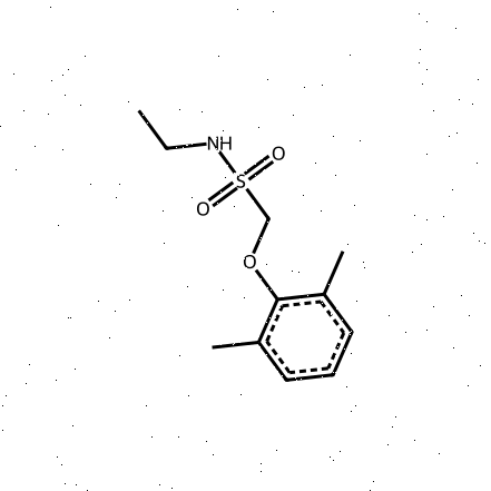 CCNS(=O)(=O)COc1c(C)cccc1C